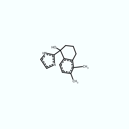 Cc1ccc2c(c1C)CCCC2(O)c1ncc[nH]1